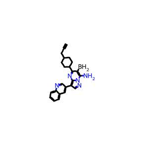 Bc1c(C2CCC(CC#C)CC2)nc2c(-c3cnc4ccccc4c3)cnn2c1N